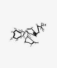 CC1CCCN1c1cc(/C=C/C(=O)O)cnc1-c1cc2ccccc2o1